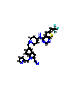 N#Cc1cc2cc(CN3CCC(Nc4ncnc5sc(CC(F)(F)F)cc45)CC3)ccc2n1CC1=NCC=C1